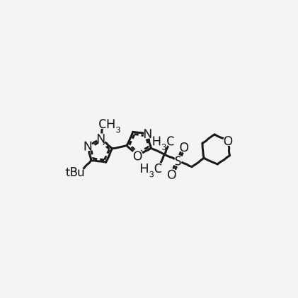 Cn1nc(C(C)(C)C)cc1-c1cnc(C(C)(C)S(=O)(=O)CC2CCOCC2)o1